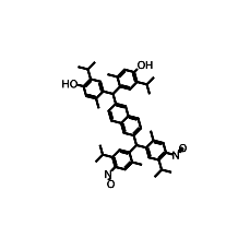 Cc1cc(O)c(C(C)C)cc1C(c1ccc2cc(C(c3cc(C(C)C)c(N=O)cc3C)c3cc(C(C)C)c(N=O)cc3C)ccc2c1)c1cc(C(C)C)c(O)cc1C